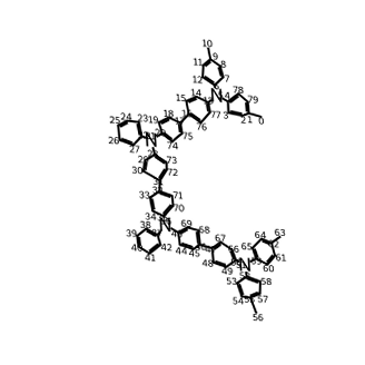 Cc1ccc(N(c2ccc(C)cc2)c2ccc(-c3ccc(N(c4ccccc4)c4ccc(-c5ccc(N(c6ccccc6)c6ccc(-c7ccc(N(c8ccc(C)cc8)c8ccc(C)cc8)cc7)cc6)cc5)cc4)cc3)cc2)cc1